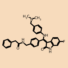 CN(C)Cc1ccc(NC(=C2C(=O)Nc3cc(F)ccc32)c2ccc(CNC(=O)Cc3ccccc3)cc2)cc1